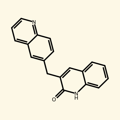 O=c1[nH]c2ccccc2cc1Cc1ccc2ncccc2c1